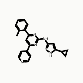 Cc1ccccc1-c1cc(-c2ccncc2)nc(Nc2cc(C3CC3)[nH]n2)n1